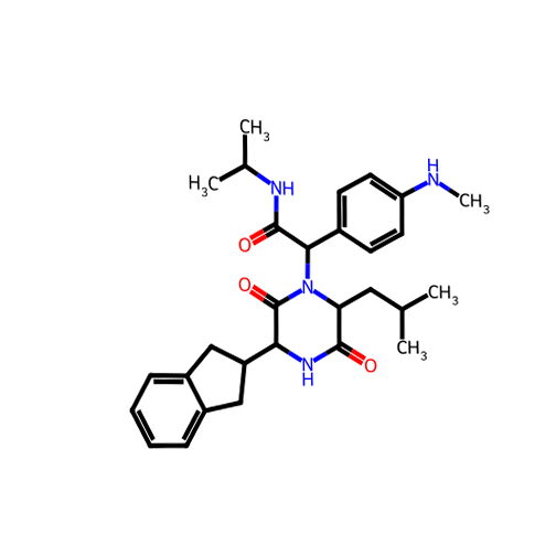 CNc1ccc(C(C(=O)NC(C)C)N2C(=O)C(C3Cc4ccccc4C3)NC(=O)C2CC(C)C)cc1